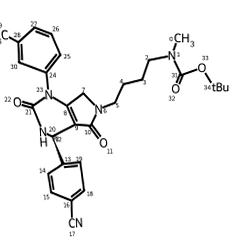 CN(CCCCN1CC2=C(C1=O)[C@@H](c1ccc(C#N)cc1)NC(=O)N2c1cccc(C(F)(F)F)c1)C(=O)OC(C)(C)C